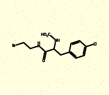 O=C(O)NC(Cc1ccc(Cl)cc1)C(=O)NCCBr